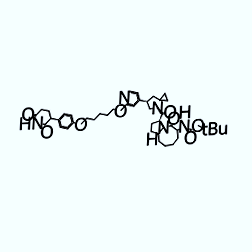 CC(C)(C)OC(=O)N[C@H]1CCCC[C@H]2CC[C@@H](C(=O)N3C[C@@H](c4ccnc(OCCCCCOc5ccc(C6CCC(=O)NC6=O)cc5)c4)CC34CC4)N2C1=O